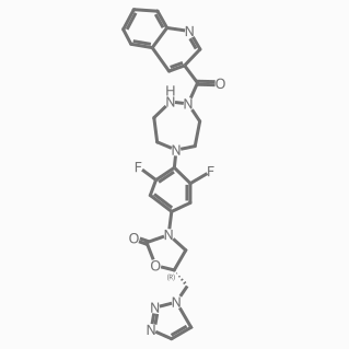 O=C(c1cnc2ccccc2c1)N1CCN(c2c(F)cc(N3C[C@H](Cn4ccnn4)OC3=O)cc2F)CCN1